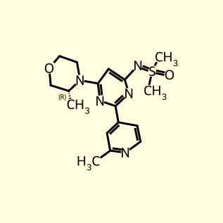 Cc1cc(-c2nc(N=S(C)(C)=O)cc(N3CCOC[C@H]3C)n2)ccn1